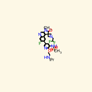 CC(C)NCCOc1ncc(-c2cc3c4c(cnc3cc2F)N(C)C(=O)C42CN(CC(F)F)C2)cc1NS(C)(=O)=O